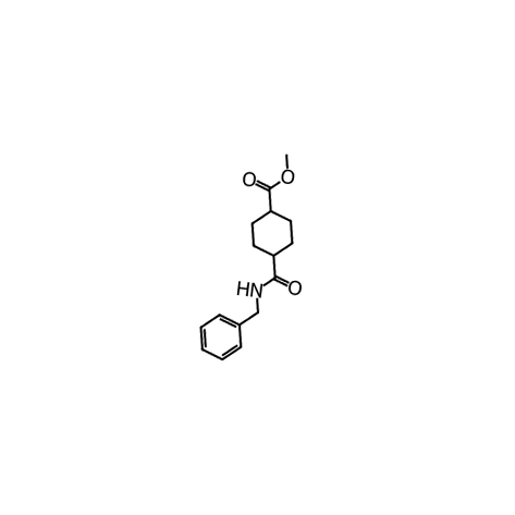 COC(=O)C1CCC(C(=O)NCc2ccccc2)CC1